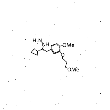 COCCCOc1cc(CC(NN)C2CCC2)ccc1OC